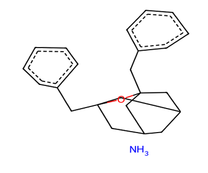 N.c1ccc(CC23CC4CC(C2)CC(Cc2ccccc2)(C4)O3)cc1